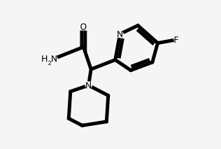 NC(=O)C(c1ccc(F)cn1)N1CCCCC1